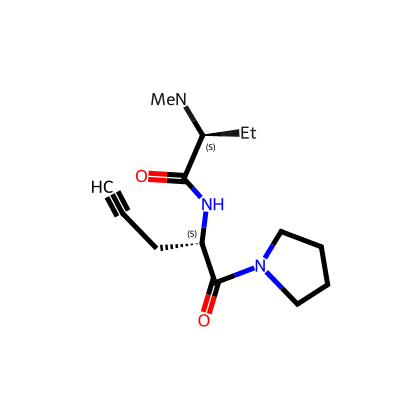 C#CC[C@H](NC(=O)[C@H](CC)NC)C(=O)N1CCCC1